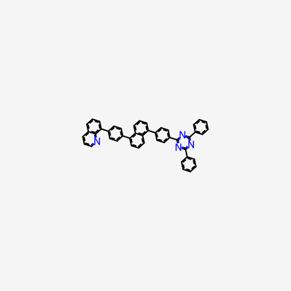 c1ccc(-c2nc(-c3ccccc3)nc(-c3ccc(-c4cccc5c(-c6ccc(-c7cccc8cccnc78)cc6)cccc45)cc3)n2)cc1